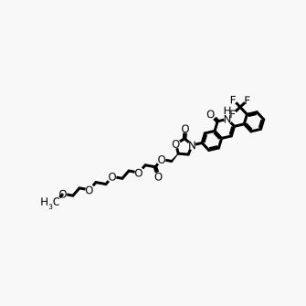 COCCOCCOCCOCC(=O)OC[C@@H]1CN(c2ccc3cc(-c4ccccc4C(F)(F)F)[nH]c(=O)c3c2)C(=O)O1